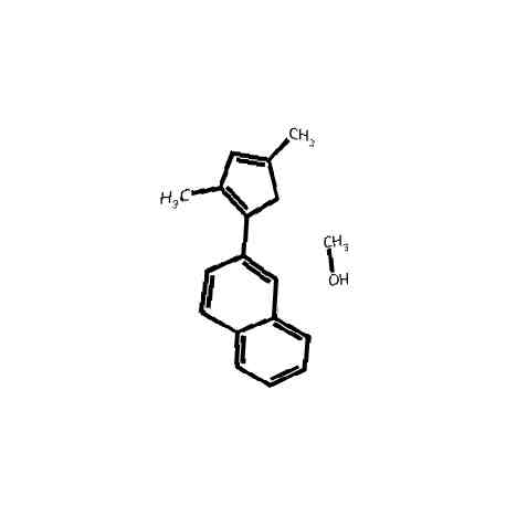 CC1=CC(C)=C(c2ccc3ccccc3c2)C1.CO